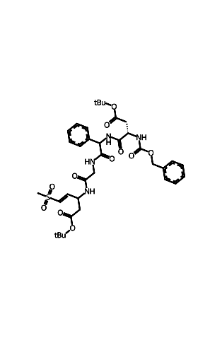 CC(C)(C)OC(=O)CC(/C=C/S(C)(=O)=O)NC(=O)CNC(=O)C(NC(=O)[C@H](CC(=O)OC(C)(C)C)NC(=O)OCc1ccccc1)c1ccccc1